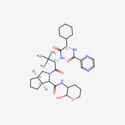 CC(C)(C)[C@H](NC(=O)[C@@H](NC(=O)c1cnccn1)C1CCCCC1)C(=O)N1C[C@@H]2CCC[C@@H]2C1C(=O)NC1CCCOB1O